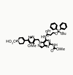 CCC[C@@H](CCO[Si](c1ccccc1)(c1ccccc1)C(C)(C)C)Nc1nc(NC(=O)OC)nc2cnn(Cc3nnc(C4=CCN(C(=O)O)CC4)cc3OC)c12